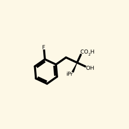 CC(C)[C@@](O)(Cc1ccccc1F)C(=O)O